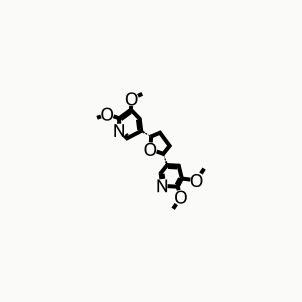 COc1cc([C@@H]2CC[C@H](c3cnc(OC)c(OC)c3)O2)cnc1OC